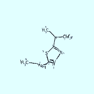 CNc1nnc(C(C)C)s1